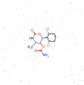 CC1NC(=O)O[C@@H](c2c(Cl)cccc2Cl)[C@H]1OC(N)=O